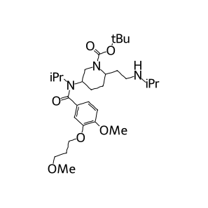 COCCCOc1cc(C(=O)N(C(C)C)C2CCC(CCNC(C)C)N(C(=O)OC(C)(C)C)C2)ccc1OC